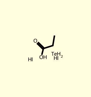 CCC(=O)O.I.I.[TeH2]